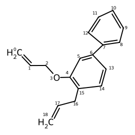 C=CCOc1cc(-c2ccccc2)ccc1CC=C